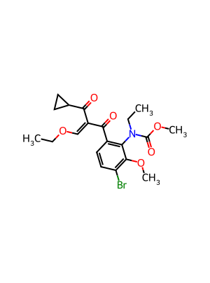 CCOC=C(C(=O)c1ccc(Br)c(OC)c1N(CC)C(=O)OC)C(=O)C1CC1